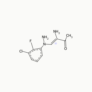 CC(=O)/C(N)=C/N(N)c1cccc(Cl)c1F